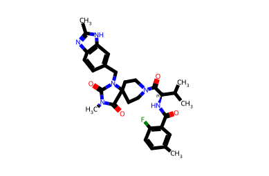 Cc1ccc(F)c(C(=O)N[C@@H](C(=O)N2CCC3(CC2)C(=O)N(C)C(=O)N3Cc2ccc3nc(C)[nH]c3c2)C(C)C)c1